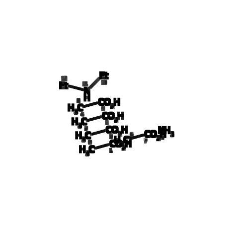 CC(=O)O.CC(=O)O.CC(=O)O.CC(=O)O.CC(=O)O.CCNCC.N